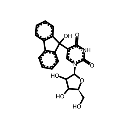 O=c1[nH]c(=O)n([C@H]2O[C@@H](CO)C(O)C2O)cc1C1(O)c2ccccc2-c2ccccc21